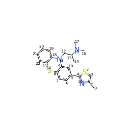 Cc1csc(-c2ccc3c(c2)N(CC(C)N(C)C)c2ccccc2S3)n1